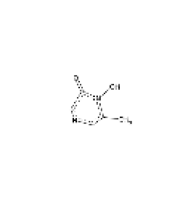 Cc1cncc(=O)n1O